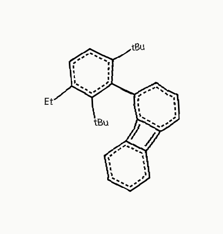 CCc1ccc(C(C)(C)C)c(-c2cccc3c2=c2ccccc2=3)c1C(C)(C)C